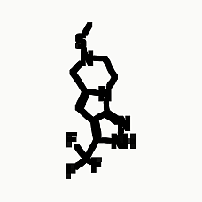 CSN1CCn2c(cc3c(C(F)(F)F)[nH]nc32)C1